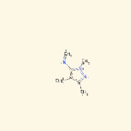 C=Nc1c(C=O)c(C)nn1C